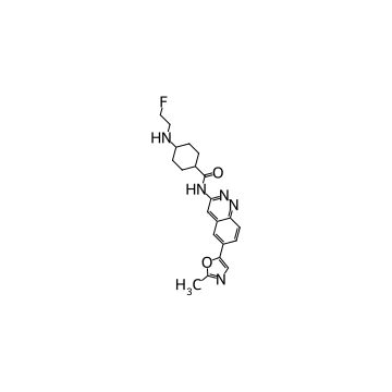 Cc1ncc(-c2ccc3nnc(NC(=O)C4CCC(NCCF)CC4)cc3c2)o1